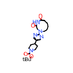 CC(C)(C)OC(=O)N1CCC(c2cnc(N3CCCCCC(=O)NC(=O)C3)nc2)CC1